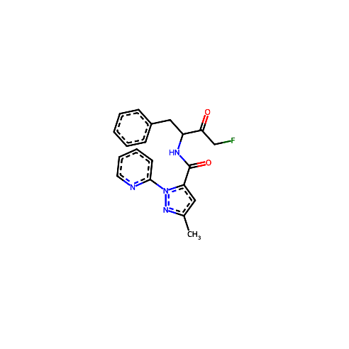 Cc1cc(C(=O)NC(Cc2ccccc2)C(=O)CF)n(-c2ccccn2)n1